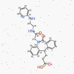 O=C(O)CCC1c2ccccc2C(=O)N(CC(=O)NCCNc2ccccn2)c2ccccc21